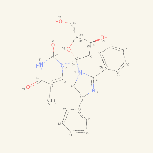 Cc1cn([C@@]2(N3CC(c4ccccc4)N=C3c3ccccc3)C[C@H](O)[C@@H](CO)O2)c(=O)[nH]c1=O